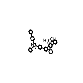 CC1(C)c2ccccc2-c2cc3c(cc21)-c1cc(-c2ccc(-c4cc(C5=CC=C(c6ccccc6)CC5)nc(-c5ccccc5)n4)cc2)ccc1C31CCCCC1